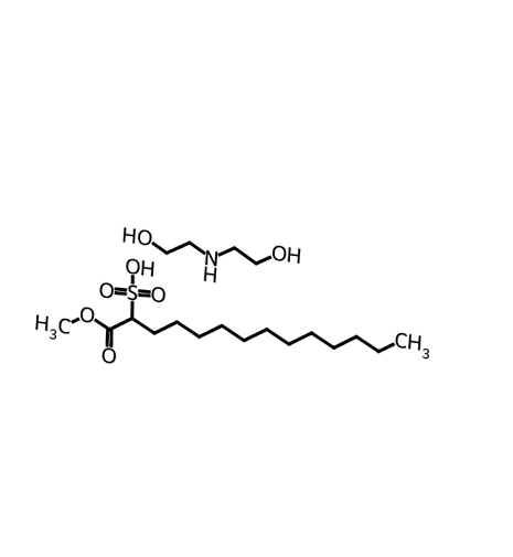 CCCCCCCCCCCCC(C(=O)OC)S(=O)(=O)O.OCCNCCO